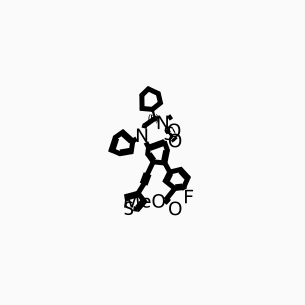 COC(=O)c1cc(-c2cc3c(cc2C#Cc2ccsc2)N(c2ccccc2)C[C@@H](C2CCCCC2)N(C)S3(=O)=O)ccc1F